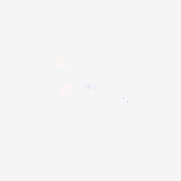 C=Cc1ccc(CNC(=O)COCC(=O)O)cn1